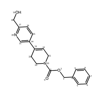 O=C(OCc1ccccc1)N1CC=C(c2ccc(CO)nc2)CC1